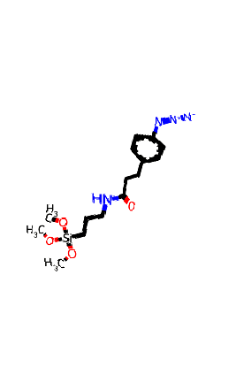 CO[Si](CCCNC(=O)CCc1ccc(N=[N+]=[N-])cc1)(OC)OC